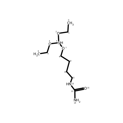 CCO[SiH](OCC)OCCCCNC(N)=O